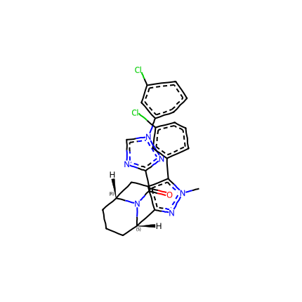 Cn1nc2c(c1-c1cccc(Cl)c1)C[C@H]1CCC[C@@H]2N1C(=O)c1ncn(-c2cccc(Cl)c2)n1